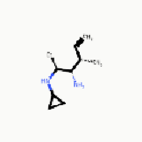 C=C[C@H](C)[C@H](N)[C@H](CC)NC1CC1